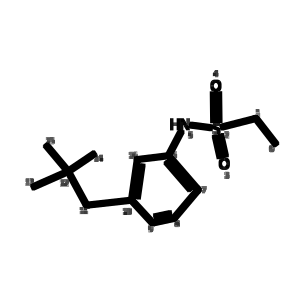 CCS(=O)(=O)Nc1cccc(CC(C)(C)C)c1